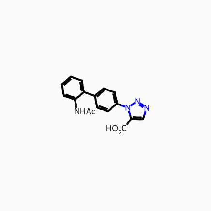 CC(=O)Nc1ccccc1-c1ccc(-n2nncc2C(=O)O)cc1